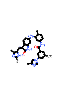 CCc1nc(C)c(/C=C2\C(=O)Nc3cc(Nc4cc(NC(=O)c5cc(-n6cnc(C)c6)cc(C(F)(F)F)c5)ccc4C)ccc32)[nH]1